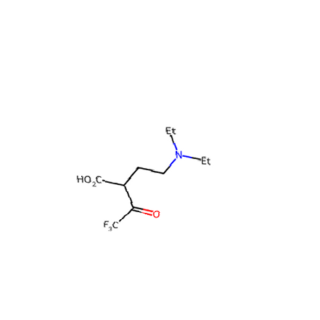 CCN(CC)CCC(C(=O)O)C(=O)C(F)(F)F